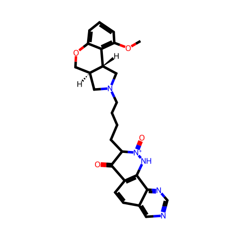 COc1cccc2c1[C@@H]1CN(CCCCC3C(=O)c4ccc5cncnc5c4N[N+]3=O)C[C@H]1CO2